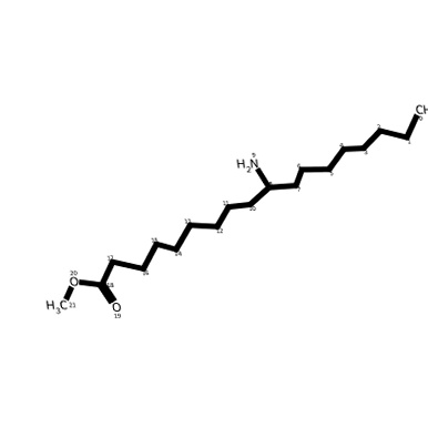 CCCCCCCCC(N)CCCCCCCCC(=O)OC